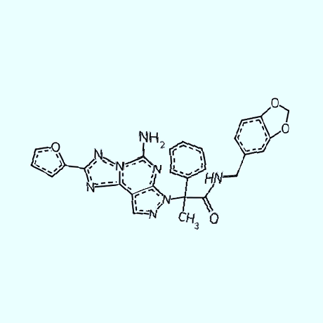 CC(C(=O)NCc1ccc2c(c1)OCO2)(c1ccccc1)n1ncc2c1nc(N)n1nc(-c3ccco3)nc21